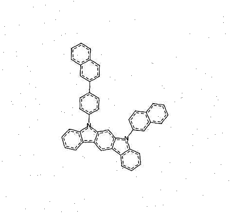 c1ccc2cc(-c3ccc(-n4c5ccccc5c5cc6c7ccccc7n(-c7ccc8ccccc8c7)c6cc54)cc3)ccc2c1